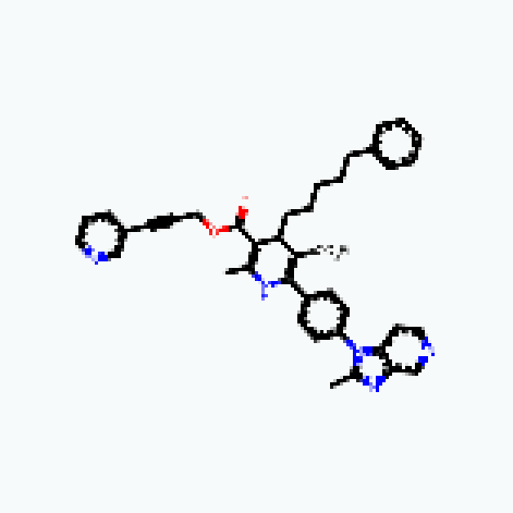 CCOC(=O)C1=C(c2ccc(-n3c(C)nc4cnccc43)cc2)NC(C)=C(C(=O)OCC#Cc2cccnc2)C1CCCCCc1ccccc1